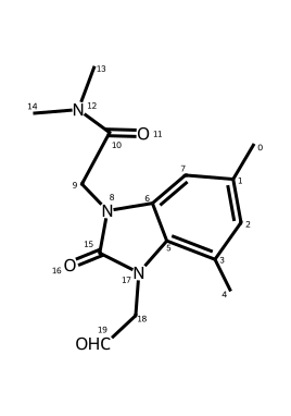 Cc1cc(C)c2c(c1)n(CC(=O)N(C)C)c(=O)n2CC=O